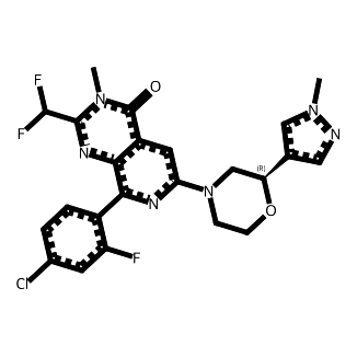 Cn1cc([C@@H]2CN(c3cc4c(=O)n(C)c(C(F)F)nc4c(-c4ccc(Cl)cc4F)n3)CCO2)cn1